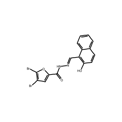 O=C(NN=Cc1c(O)ccc2ccccc12)c1cc(Br)c(Br)o1